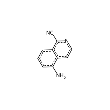 N#Cc1nccc2c(N)cccc12